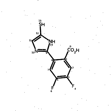 O=C(O)c1cc(F)c(F)cc1-c1ncc(S)[nH]1